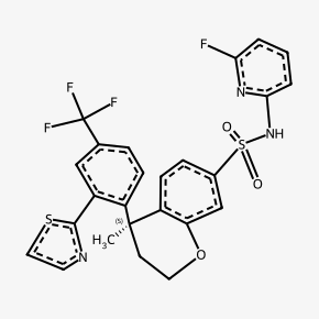 C[C@@]1(c2ccc(C(F)(F)F)cc2-c2nccs2)CCOc2cc(S(=O)(=O)Nc3cccc(F)n3)ccc21